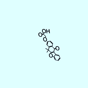 CC1(C)c2cc(OCC(=O)O)ccc2C(=O)c2c1oc1ccccc21